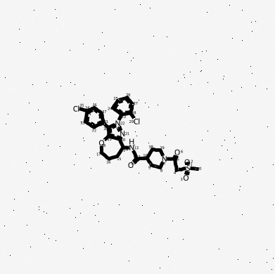 CS(=O)(=O)CC(=O)N1CCC(C(=O)NC2CCCOc3c2nn(-c2ccccc2Cl)c3-c2ccc(Cl)cc2)CC1